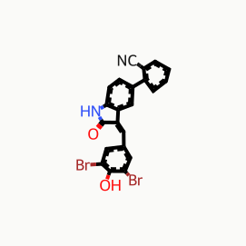 N#Cc1ccccc1-c1ccc2c(c1)C(=Cc1cc(Br)c(O)c(Br)c1)C(=O)N2